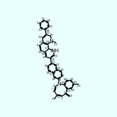 C=C1/C=C(C)\C=C/N(c2ccc3cc(C4=CNC5C(=C4)C=CC4=C5N(C)CC(c5ccccc5)=C4)ccc3c2)c2ccc(C)cc21